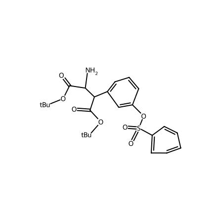 CC(C)(C)OC(=O)C(N)C(C(=O)OC(C)(C)C)c1cccc(OS(=O)(=O)c2ccccc2)c1